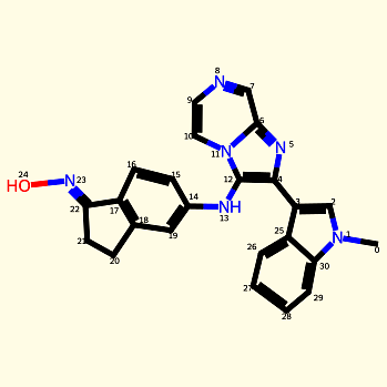 Cn1cc(-c2nc3cnccn3c2Nc2ccc3c(c2)CCC3=NO)c2ccccc21